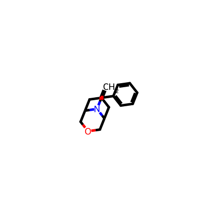 C=C1CC2COCC(C1)N2Cc1ccccc1